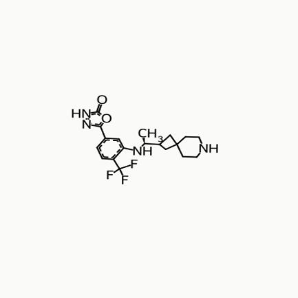 C[C@H](Nc1cc(-c2n[nH]c(=O)o2)ccc1C(F)(F)F)C1CC2(CCNCC2)C1